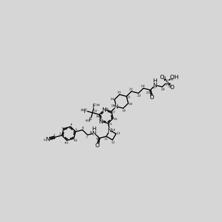 N#Cc1ccc(CCNC(=O)C2CCN2c2cc(N3CCC(CCCC(=O)NCS(=O)(=O)O)CC3)nc(C(F)(F)F)n2)cc1